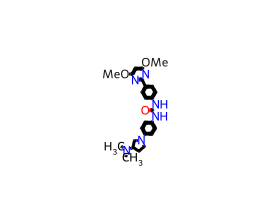 COc1cc(OC)nc(-c2ccc(NC(=O)Nc3ccc(N4CCC(N(C)C)C4)cc3)cc2)n1